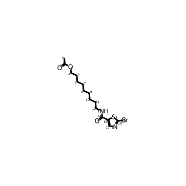 CC(=O)OCCCCCCCCCNC(=O)c1cnc(Br)s1